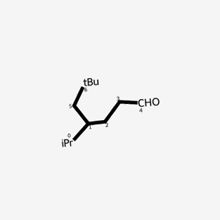 CC(C)C(CCC=O)CC(C)(C)C